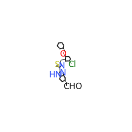 O=CCc1ccc2[nH]c(-c3csc(Cc4cc(Cl)ccc4OCc4ccccc4)n3)nc2c1